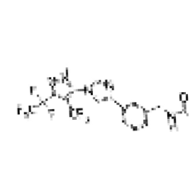 CCC(=O)NCc1cccc(-c2cn(-c3c(C(F)(F)F)c(C(F)(F)C(F)(F)F)nn3C)cn2)c1